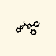 O=C(c1cc(-c2ccncc2)n(-c2ccccc2)n1)N1CC2(CCCC2)C1